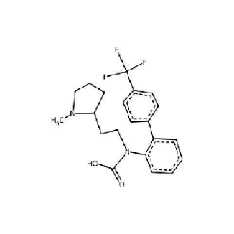 CN1CCCC1CCN(C(=O)O)c1ccccc1-c1ccc(C(F)(F)F)cc1